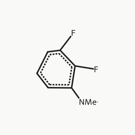 C[N]c1cccc(F)c1F